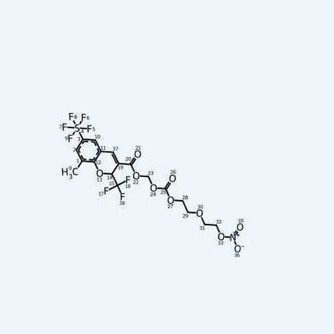 Cc1cc(S(F)(F)(F)(F)F)cc2c1OC(C(F)(F)F)C(C(=O)OCOC(=O)OCCOCCO[N+](=O)[O-])=C2